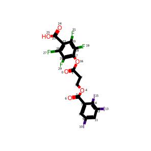 O=C(CCOC(=O)c1cc(I)cc(I)c1I)Oc1c(F)c(F)c(C(=O)O)c(F)c1F